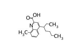 CCCCC(CC)c1cc(C(=O)O)nc2c(C)cccc12